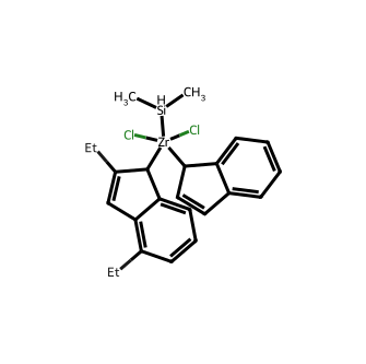 CCC1=Cc2c(CC)cccc2[CH]1[Zr]([Cl])([Cl])([CH]1C=Cc2ccccc21)[SiH](C)C